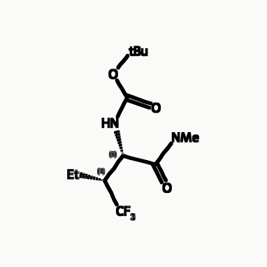 CC[C@H]([C@H](NC(=O)OC(C)(C)C)C(=O)NC)C(F)(F)F